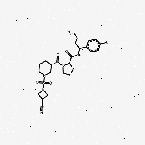 COCC(NC(=O)[C@H]1CCCN1C(=O)[C@H]1CCCN(S(=O)(=O)N2CC(C#N)C2)C1)c1ccc(Cl)cc1